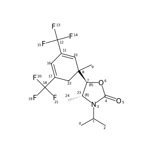 CC(C)N1C(=O)O[C@H](C2(C)C=C(C(F)(F)F)C=C(C(F)(F)F)C2)[C@H]1C